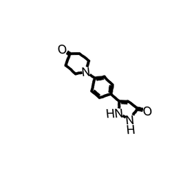 O=C1CCN(c2ccc(-c3cc(=O)[nH][nH]3)cc2)CC1